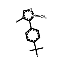 Cn1ncc(I)c1-c1ccc(C(F)(F)F)cc1